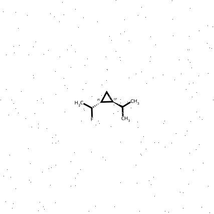 CC(C)[C@@H]1C[C@H]1C(C)F